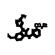 CCOC(=O)c1cccc(Sc2c(C)n(-c3cnn(C(C)C)c3)c3cc(CI)ccc23)n1